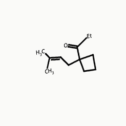 CCC(=O)C1(CC=C(C)C)CCC1